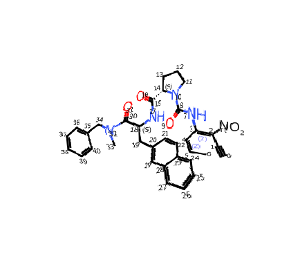 C#C/C(=C(\C=C/C)NC(=O)N1CCC[C@H]1C(=O)N[C@@H](Cc1ccc2ccccc2c1)C(=O)N(C)Cc1ccccc1)[N+](=O)[O-]